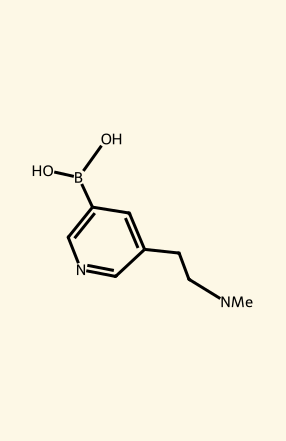 CNCCc1cncc(B(O)O)c1